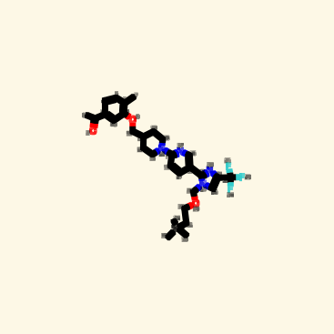 CC(=O)c1ccc(C)c(OCC2CCN(c3ccc(-c4nc(C(F)(F)F)cn4COCC[Si](C)(C)C)cn3)CC2)c1